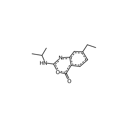 CCc1ccc2c(=O)oc(NC(C)C)nc2c1